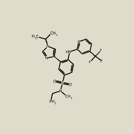 CC(C)n1cnc(-c2cc(S(=O)(=O)N(C)CP)ccc2Nc2cc(C(F)(F)F)ccn2)c1